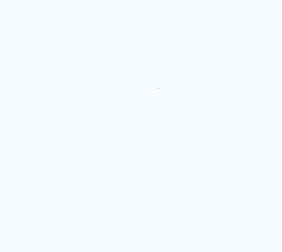 CC1CCOC(C)(S(=O)(=O)c2cccc(C(F)(F)F)c2)C1